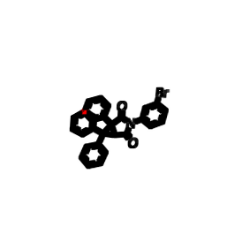 O=C1C2C(c3ccccc3)(C(=O)N1c1cccc(Br)c1)C2(c1ccccc1)c1ccccc1